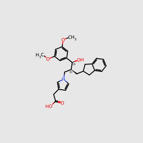 COc1cc(OC)cc([C@@H](O)[C@@H](CC2Cc3ccccc3C2)Cn2ccc(CC(=O)O)c2)c1